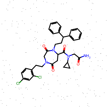 NC(=O)CN(C(=O)C1CC(=O)N(CCc2ccc(Cl)cc2Cl)CC(=O)N1CCC(c1ccccc1)c1ccccc1)C1CC1